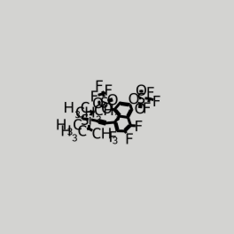 CC(C)[Si](C#Cc1c(F)c(F)c(F)c2cc(OS(=O)(=O)C(F)(F)F)cc(OS(=O)(=O)C(F)(F)F)c12)(C(C)C)C(C)C